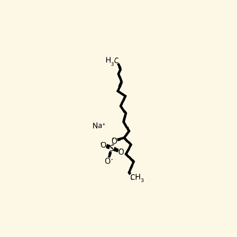 CCCCCCCCCCC(CCCCC)OS(=O)(=O)[O-].[Na+]